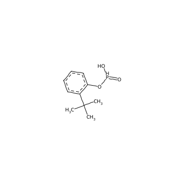 CC(C)(C)c1ccccc1O[PH](=O)O